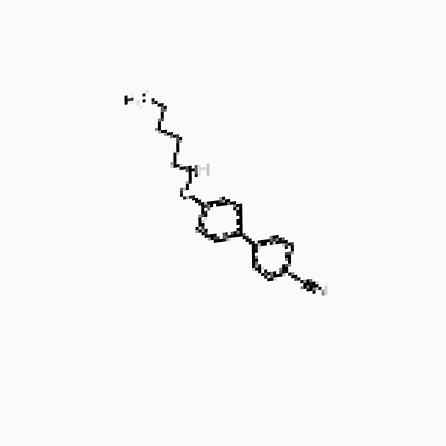 CCCCCNOc1ccc(-c2ccc(C#N)cc2)cc1